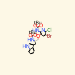 CC(C)(C)OC(=O)Nc1nc(Cl)c(Br)cc1OC[C@H](Cc1c[nH]c2ccccc12)NC(=O)OC(C)(C)C